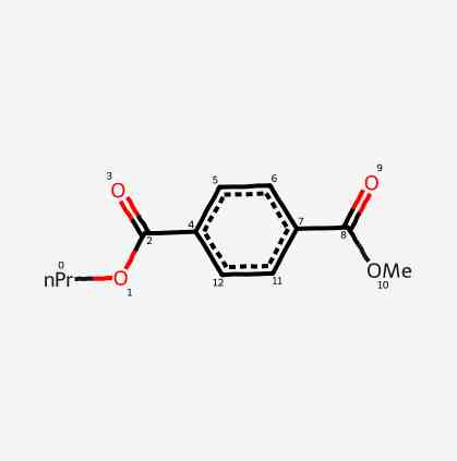 CCCOC(=O)c1ccc(C(=O)OC)cc1